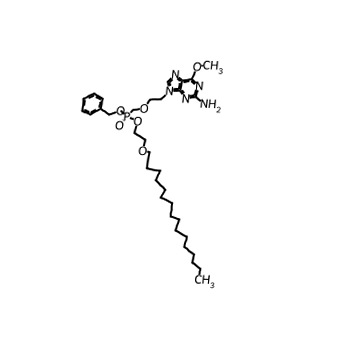 CCCCCCCCCCCCCCCCOCCOP(=O)(COCCn1cnc2c(OC)nc(N)nc21)OCc1ccccc1